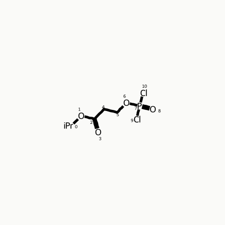 CC(C)OC(=O)CCOP(=O)(Cl)Cl